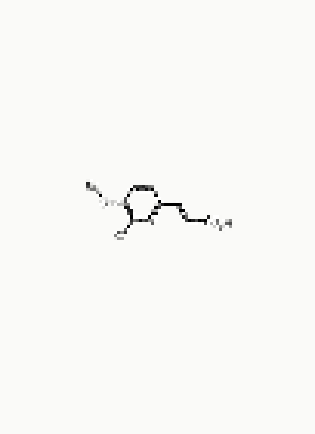 CCOc1ccc(C=CC(=O)O)nc1Cl